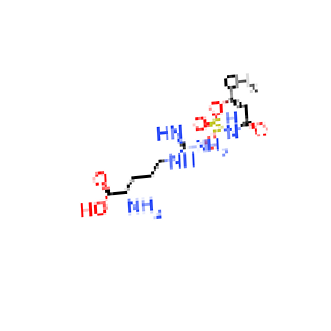 CC1=CC(=O)NS(=O)(=O)O1.N=C(N)NCCC[C@H](N)C(=O)O